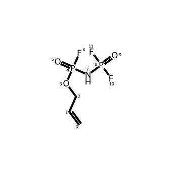 C=CCOP(=O)(F)NP(=O)(F)F